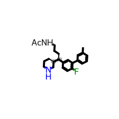 CC(=O)NCCC[C@@H](c1ccc(F)c(-c2cccc(C)c2)c1)[C@@H]1CCCNC1